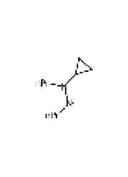 CCC[N]N(CCC)C1CC1